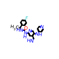 C[C@@H](NC(=O)Nc1cc(C=N)c(Nc2ccncc2)cn1)c1ccc(F)cc1